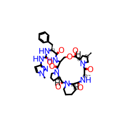 C[C@@H]1C[C@H]2C(=O)OCC(NC(=O)[C@H](Cc3ccccc3)NC(=O)Nc3ccn(C)n3)C(=O)N3CCC[C@H]3C(=O)N3CCCC[C@H]3C(=O)N[C@@H](C)C(=O)N2C1